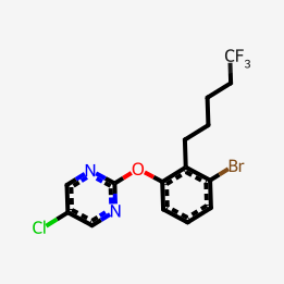 FC(F)(F)CCCCc1c(Br)cccc1Oc1ncc(Cl)cn1